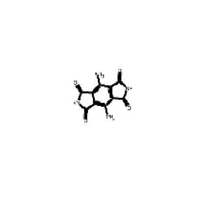 Cc1c2c(=O)[nH]c(=O)c2c(C)c2c(=O)[nH]c(=O)c12